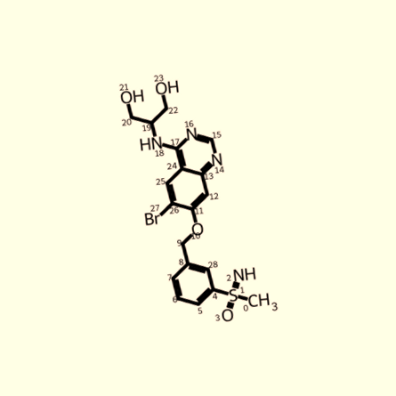 CS(=N)(=O)c1cccc(COc2cc3ncnc(NC(CO)CO)c3cc2Br)c1